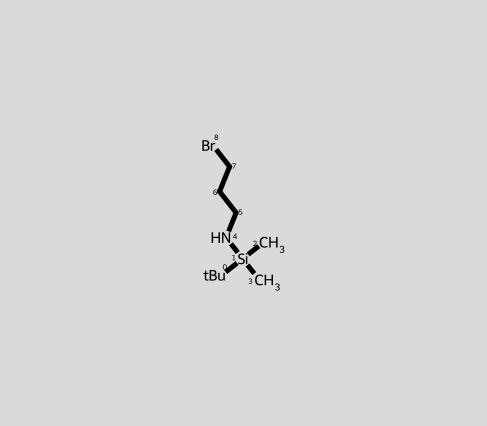 CC(C)(C)[Si](C)(C)NCCCBr